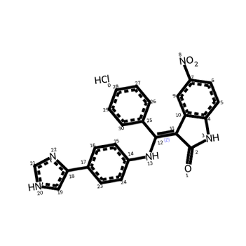 Cl.O=C1Nc2ccc([N+](=O)[O-])cc2/C1=C(/Nc1ccc(-c2c[nH]cn2)cc1)c1ccccc1